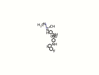 C#C/C(=C\C=N/C)Nc1ccc(NS(=O)(=O)c2ccc(Nc3ccnc4ccc(F)cc34)cc2)cc1